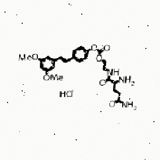 COc1cc(C=Cc2ccc(OC(=O)OCCNC(=O)C(N)CCC(N)=O)cc2)cc(OC)c1.Cl